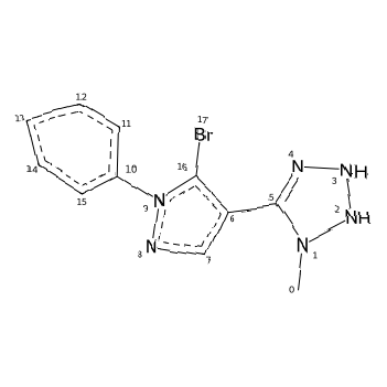 CN1NNN=C1c1cnn(-c2ccccc2)c1Br